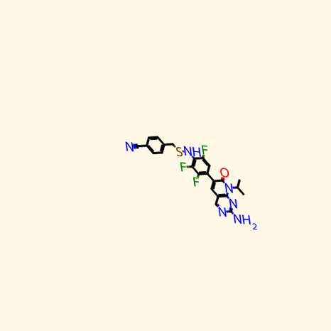 CC(C)n1c(=O)c(-c2cc(F)c(NSCc3ccc(C#N)cc3)c(F)c2F)cc2cnc(N)nc21